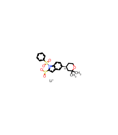 CC1(C)C[C@@H](c2ccc3c(c2)cc(S(=O)[O-])n3S(=O)(=O)c2ccccc2)CCO1.[Li+]